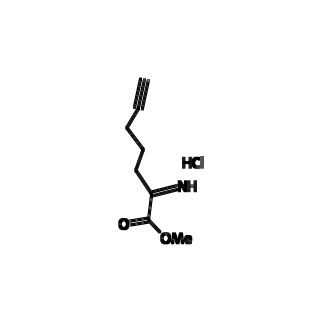 C#CCCCC(=N)C(=O)OC.Cl